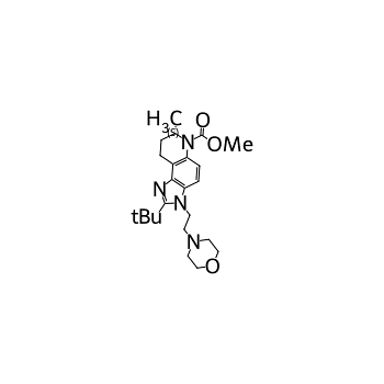 COC(=O)N1c2ccc3c(nc(C(C)(C)C)n3CCN3CCOCC3)c2CC[C@@H]1C